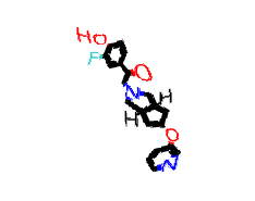 O=C(CN1C[C@H]2C[C@@H](Oc3cccnc3)C[C@H]2C1)c1ccc(O)c(F)c1